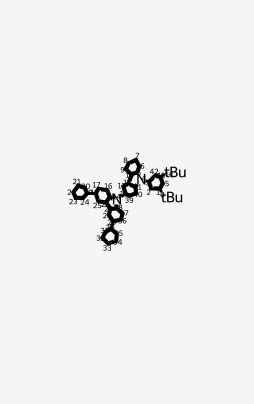 CC(C)(C)c1cc(-n2c3ccccc3c3cc(-n4c5ccc(-c6ccccc6)cc5c5cc(-c6ccccc6)ccc54)ccc32)cc(C(C)(C)C)c1